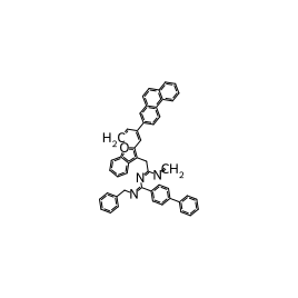 C=C/C(=C\c1oc2ccccc2c1C/C(N=C)=N/C(=N\Cc1ccccc1)c1ccc(-c2ccccc2)cc1)c1ccc2c(ccc3ccccc32)c1